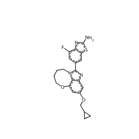 Nc1nc2c(F)cc(-c3nc4cc(OCC5CC5)cc5c4n3CCCCO5)cc2s1